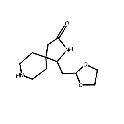 O=C1CC2(CCNCC2)C(CC2OCCO2)N1